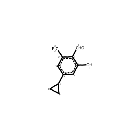 O=Cc1c(O)cc(C2CC2)cc1C(F)(F)F